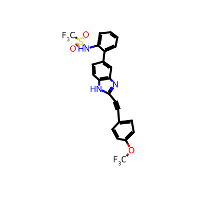 O=S(=O)(Nc1ccccc1-c1ccc2[nH]c(C#Cc3ccc(OC(F)(F)F)cc3)nc2c1)C(F)(F)F